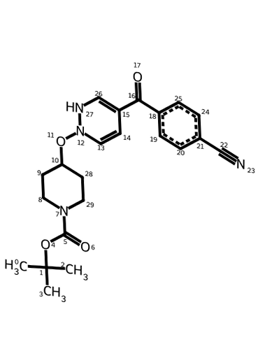 CC(C)(C)OC(=O)N1CCC(ON2C=CC(C(=O)c3ccc(C#N)cc3)=CN2)CC1